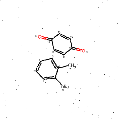 CCCCc1ccccc1C.O=C1C=CC(=O)C=C1